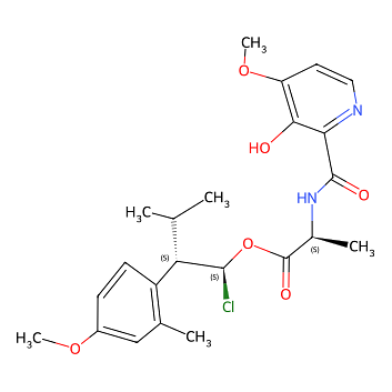 COc1ccc([C@H](C(C)C)[C@H](Cl)OC(=O)[C@H](C)NC(=O)c2nccc(OC)c2O)c(C)c1